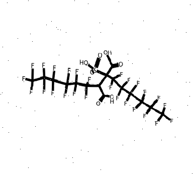 O=C(O)C(C(F)(F)C(F)(F)C(F)(F)C(F)(F)C(F)(F)C(F)(F)F)C(C(=O)O)(C(F)(F)C(F)(F)C(F)(F)C(F)(F)C(F)(F)C(F)(F)F)S(=O)(=O)O